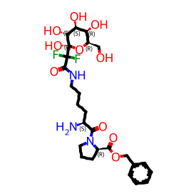 N[C@@H](CCCCNC(=O)C(F)(F)[C@]1(O)O[C@H](CO)[C@H](O)[C@H](O)[C@H]1O)C(=O)N1CCC[C@@H]1C(=O)OCc1ccccc1